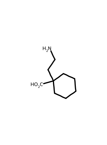 NCCC1(C(=O)O)CCCCC1